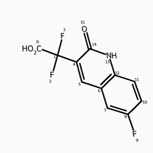 O=C(O)C(F)(F)c1cc2cc(F)ccc2[nH]c1=O